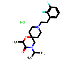 CC1OC2(CCN(CCc3cccc(F)c3F)CC2)CN(C(C)C)C1=O.Cl